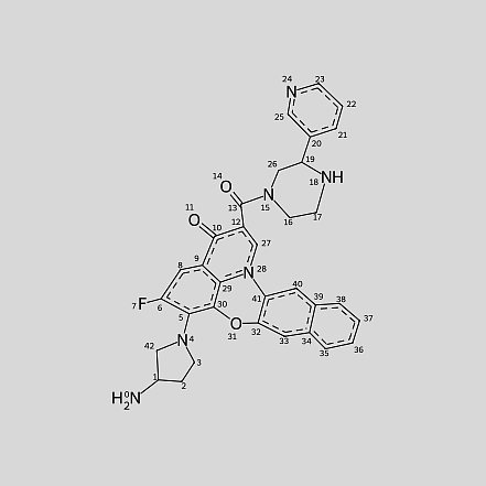 NC1CCN(c2c(F)cc3c(=O)c(C(=O)N4CCNC(c5cccnc5)C4)cn4c3c2Oc2cc3ccccc3cc2-4)C1